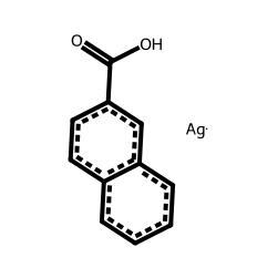 O=C(O)c1ccc2ccccc2c1.[Ag]